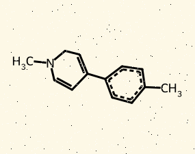 Cc1ccc(C2=CCN(C)C=C2)cc1